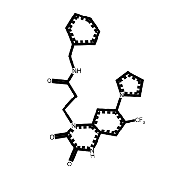 O=C(CCn1c(=O)c(=O)[nH]c2cc(C(F)(F)F)c(-n3cccc3)cc21)NCc1ccccc1